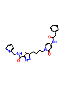 O=C(Cc1ccccc1)Nc1ccn(CCCCc2nnc(C(=O)NCc3ccccn3)s2)c(=O)c1